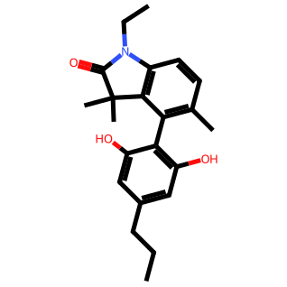 CCCc1cc(O)c(-c2c(C)ccc3c2C(C)(C)C(=O)N3CC)c(O)c1